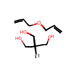 C=CCOCC=C.CCC(CO)(CO)CO